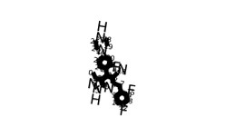 Cc1n[nH]c2nc(Cc3ccc(F)cc3F)c(C#N)c(-c3ccc(N4CCNCC4)cc3F)c12